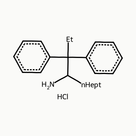 CCCCCCCC(N)C(CC)(c1ccccc1)c1ccccc1.Cl